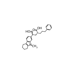 Cn1c2c(c3ccc(C(C[C@H](CCCc4ccccc4)C(=O)O)=NO)cc31)CCCC2